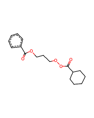 O=C(OCCCOOC(=O)C1CCCCC1)c1ccccc1